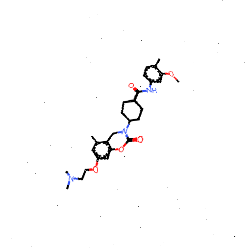 COc1cc(NC(=O)C2CCC(N3Cc4c(C)cc(OCCN(C)C)cc4OC3=O)CC2)ccc1C